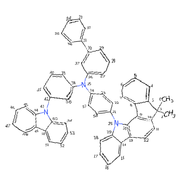 CC1(C)c2ccccc2-c2c1ccc1c3ccccc3n(-c3ccc(N(c4cccc(-c5ccccc5)c4)c4cccc(-n5c6ccccc6c6ccccc65)c4)cc3)c21